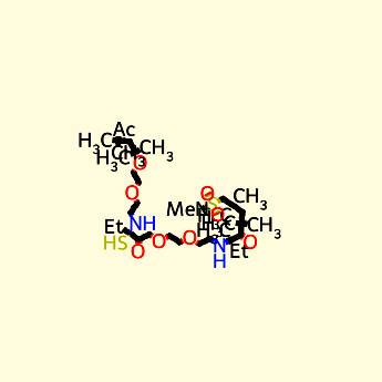 CCC(C)(NCCOCCOCC(=O)C(S)(CC)NCCOCCOC(C)(C)CC(C)(C)C(C)=O)C(=O)C(C)(C)CC(C)(C)CS(=O)(=O)NC